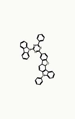 C1=CC2c3cc(-c4nc(-c5ccccc5)nc(-n5c6ccccc6c6ccccc65)n4)ccc3OC2c2c1n(-c1ccccc1)c1ccccc21